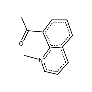 CC(=O)c1cccc2ccc[n+](C)c12